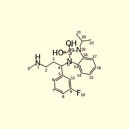 CNCCC(c1cccc(F)c1)N1c2ccccc2N(C(C)C)S1(O)O